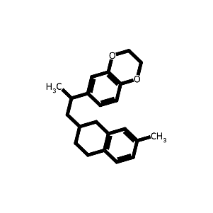 Cc1ccc2c(c1)CC(CC(C)c1ccc3c(c1)OCCO3)CC2